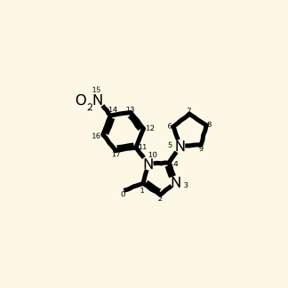 Cc1cnc(N2CCCC2)n1-c1ccc([N+](=O)[O-])cc1